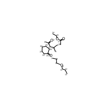 CC(=O)CC(C)C.CCCOCCC.CCOC(C)=O.O=C1CCCCC1